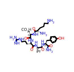 CC(C)[C@H](NC(=O)[C@H](CCCNC(=N)N)NC(=O)[C@H](CC(=O)O)NC(=O)[C@@H](N)CCCCN)C(=O)N[C@@H](Cc1ccc(O)cc1)C(N)=O